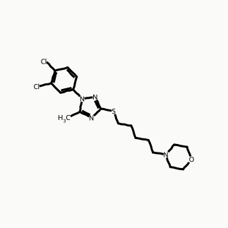 Cc1nc(SCCCCCN2CCOCC2)nn1-c1ccc(Cl)c(Cl)c1